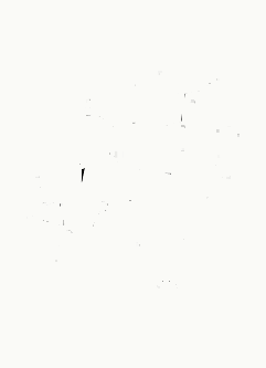 Cc1nc(C(=O)N2C[C@H]3C[C@H]3[C@H]2CNC(=O)c2ccc(F)cc2)c(-c2ccc(C(F)(F)F)cc2)s1